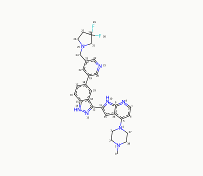 CN1CCN(c2ccnc3[nH]c(-c4n[nH]c5ccc(-c6cncc(CN7CCC(F)(F)C7)c6)cc45)cc23)CC1